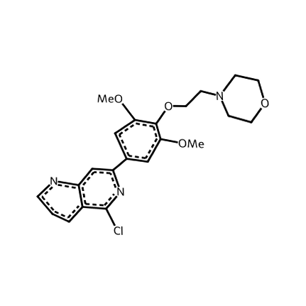 COc1cc(-c2cc3ncccc3c(Cl)n2)cc(OC)c1OCCN1CCOCC1